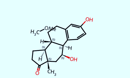 COC.C[C@]12C[C@H](O)[C@@H]3c4ccc(O)cc4CC[C@H]3[C@@H]1CCC2=O